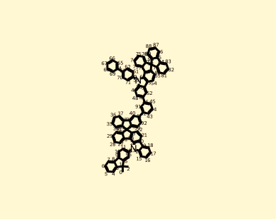 CC1(C)c2ccccc2-c2ccc(-n3c4ccccc4c4ccc5c(c43)-c3ccccc3C53c4ccccc4-c4cc(-c5cccc(-c6ccc7c(c6)c6ccc8c(c6n7-c6ccc(-c7ccccc7)cc6)-c6ccccc6C86c7ccccc7-c7ccccc76)c5)ccc43)cc21